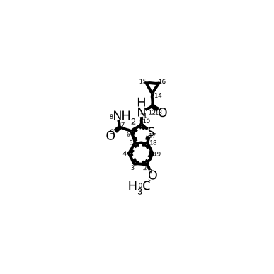 COc1ccc2c(C(N)=O)c(NC(=O)C3CC3)sc2c1